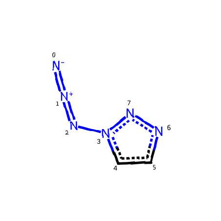 [N-]=[N+]=Nn1ccnn1